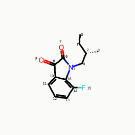 CC[C@H](C)CN1C(=O)C(=O)c2cccc(F)c21